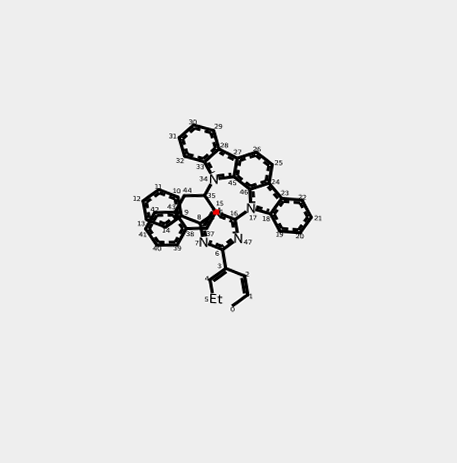 C/C=C\C(=C/CC)c1nc(-c2ccccc2)nc(-n2c3ccccc3c3ccc4c5ccccc5n(C5C=Cc6ccccc6C5)c4c32)n1